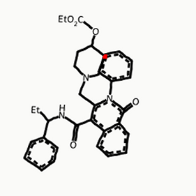 CCOC(=O)OC1CCN(Cc2c(C(=O)NC(CC)c3ccccc3)c3ccccc3c(=O)n2-c2ccccc2)CC1